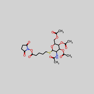 CC(=O)NC1C(SCCCCC(=O)ON2C(=O)CCC2=O)OC(COC(C)=O)C(OC(C)=O)C1OC(C)=O